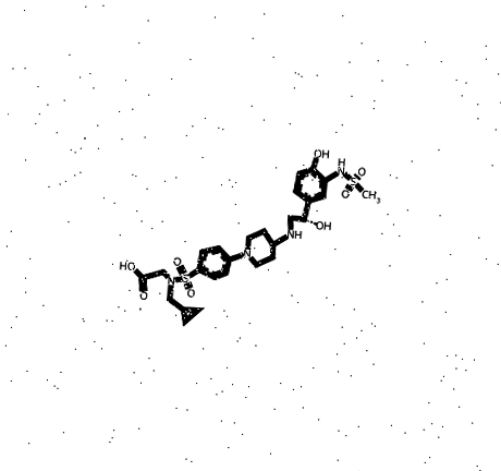 CS(=O)(=O)Nc1cc([C@H](O)CNC2CCN(c3ccc(S(=O)(=O)N(CC(=O)O)CC4CC4)cc3)CC2)ccc1O